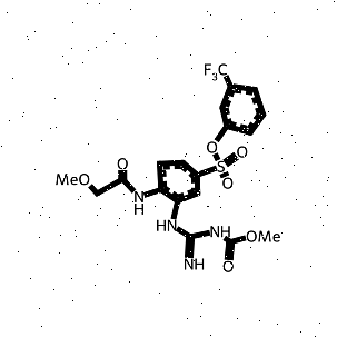 COCC(=O)Nc1ccc(S(=O)(=O)Oc2cccc(C(F)(F)F)c2)cc1NC(=N)NC(=O)OC